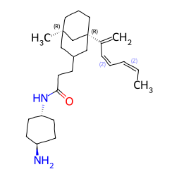 C=C(/C=C\C=C/C)[C@]12CCC[C@](C)(CC(CCC(=O)N[C@H]3CC[C@H](N)CC3)C1)C2